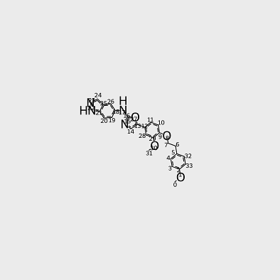 COc1ccc(CCOc2ccc(-c3cnc(Nc4ccc5[nH]ncc5c4)o3)cc2OC)cc1